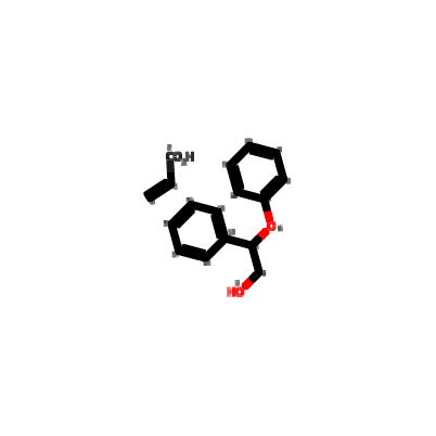 C=CC(=O)O.OCC(Oc1ccccc1)c1ccccc1